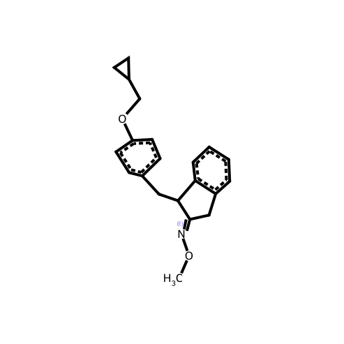 CO/N=C1\Cc2ccccc2C1Cc1ccc(OCC2CC2)cc1